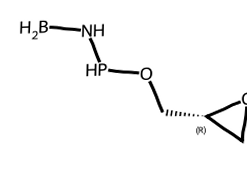 BNPOC[C@H]1CO1